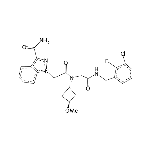 CO[C@H]1C[C@H](N(CC(=O)NCc2cccc(Cl)c2F)C(=O)Cn2nc(C(N)=O)c3ccccc32)C1